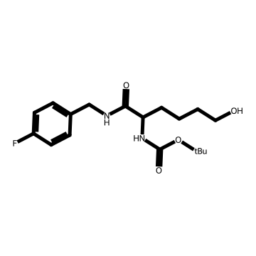 CC(C)(C)OC(=O)NC(CCCCO)C(=O)NCc1ccc(F)cc1